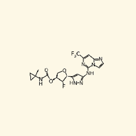 CC1(NC(=O)O[C@H]2CO[C@@H](c3cc(Nc4nc(C(F)(F)F)cc5nccn45)n[nH]3)[C@H]2F)CC1